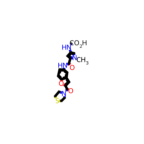 Cn1cc(NC(=O)O)cc1C(=O)Nc1ccc2oc(C(=O)N3CCSCC3)cc2c1